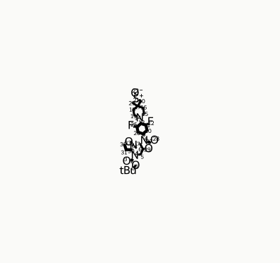 CC(C)(C)OC(=O)N(CC1CN(c2cc(F)c(N3CCC4(CC3)C[S+]([O-])C4)c(F)c2)C(=O)O1)c1ccon1